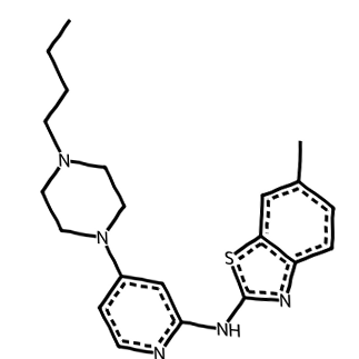 CCCCN1CCN(c2ccnc(Nc3nc4ccc(C)cc4s3)c2)CC1